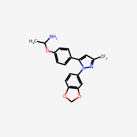 CC(N)Oc1ccc(-c2cc(C(F)(F)F)nn2-c2ccc3c(c2)OCO3)cc1